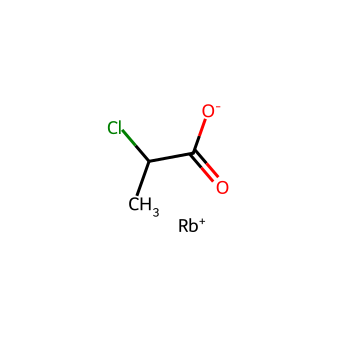 CC(Cl)C(=O)[O-].[Rb+]